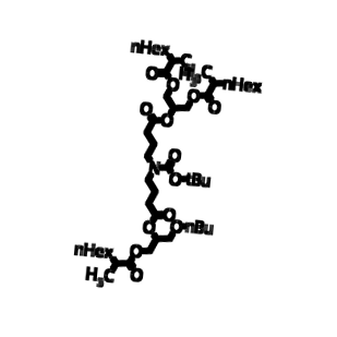 CCCCCCC(C)C(=O)OCC(COCCCC)OC(=O)CCCN(CCCC(=O)OC(COC(=O)C(C)CCCCCC)COC(=O)C(C)CCCCCC)C(=O)OC(C)(C)C